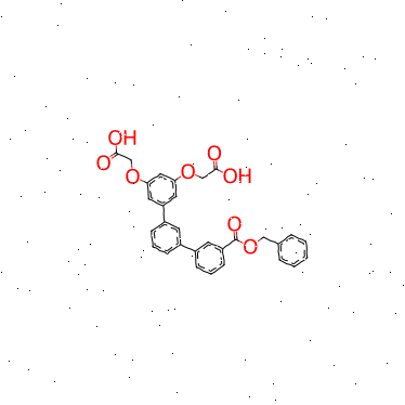 O=C(O)COc1cc(OCC(=O)O)cc(-c2cccc(-c3cccc(C(=O)OCc4ccccc4)c3)c2)c1